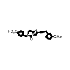 COc1cccc(CC#Cc2cn3c(n2)CCN(Cc2ccc(C(=O)O)cc2)C3=O)c1